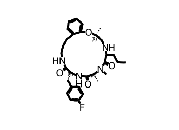 CCCC1NC[C@@H](C)Oc2ccccc2CCCNC(=O)[C@@H](Cc2ccc(F)cc2)NC(=O)[C@@H](C)N(C)C1=O